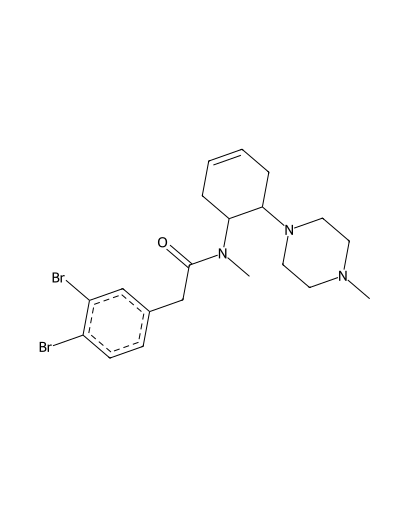 CN1CCN(C2CC=CCC2N(C)C(=O)Cc2ccc(Br)c(Br)c2)CC1